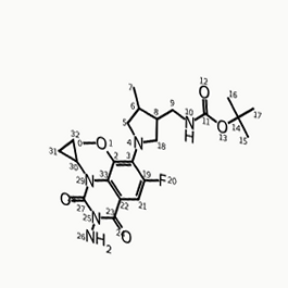 COc1c(N2CC(C)C(CNC(=O)OC(C)(C)C)C2)c(F)cc2c(=O)n(N)c(=O)n(C3CC3)c12